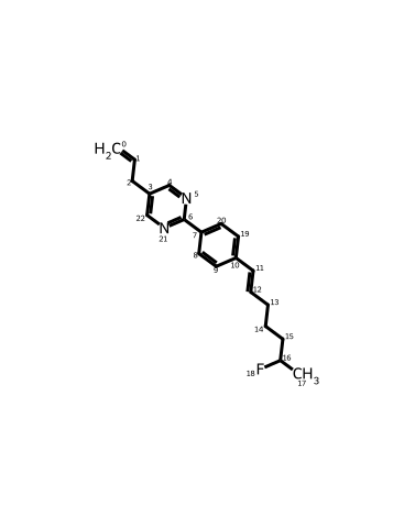 C=CCc1cnc(-c2ccc(/C=C/CCCC(C)F)cc2)nc1